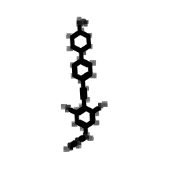 CCCC1CCC(c2ccc(C#Cc3c(F)cc(N=C=S)cc3F)cc2)CC1